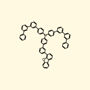 c1ccc(-c2cccc(-c3cccc(-c4ccc(N(c5ccc(-c6cccc(-c7cccc(-c8ccccc8)c7)c6)cc5)c5ccc(-c6cccc(-c7cccc8c7oc7ccccc78)c6)cc5)cc4)c3)c2)cc1